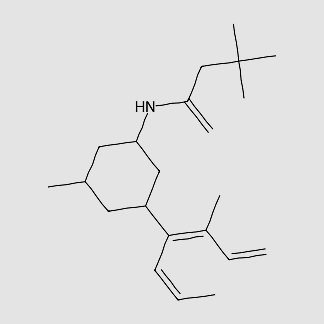 C=C/C(C)=C(\C=C/C)C1CC(C)CC(NC(=C)CC(C)(C)C)C1